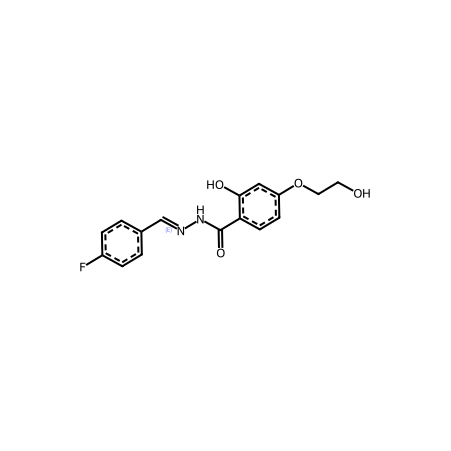 O=C(N/N=C/c1ccc(F)cc1)c1ccc(OCCO)cc1O